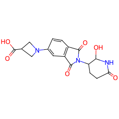 O=C1CCC(N2C(=O)c3ccc(N4CC(C(=O)O)C4)cc3C2=O)C(O)N1